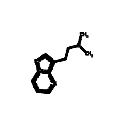 CN(C)CCc1csc2cccnc12